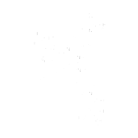 C=Cc1cc2c(N3CCC4(CC3)CN(C(=O)OC(C)(C)C)C4)nc(C3CCN(C(C)=O)CC3)nc2c(OCC(F)(F)F)c1Br